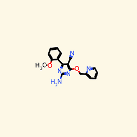 COc1ccccc1-c1nc(N)nc(OCc2ccccn2)c1C#N